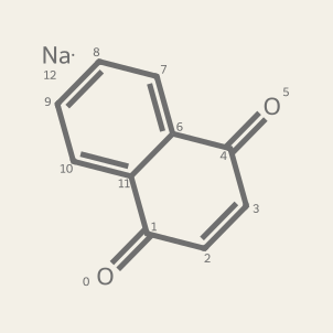 O=C1C=CC(=O)c2ccccc21.[Na]